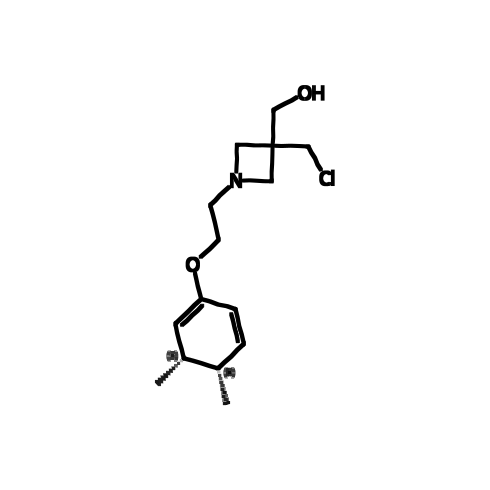 C[C@@H]1C=C(OCCN2CC(CO)(CCl)C2)C=C[C@@H]1C